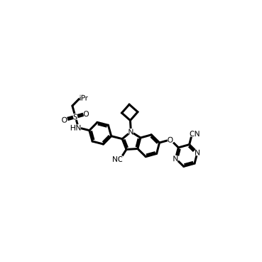 CC(C)CS(=O)(=O)Nc1ccc(-c2c(C#N)c3ccc(Oc4nccnc4C#N)cc3n2C2CCC2)cc1